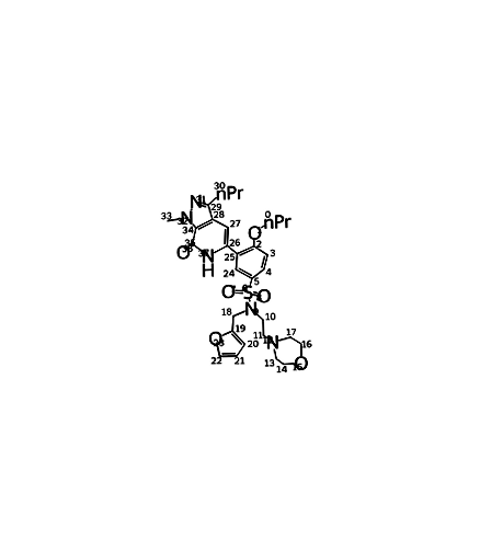 CCCOc1ccc(S(=O)(=O)N(CCN2CCOCC2)Cc2ccco2)cc1-c1cc2c(CCC)nn(C)c2c(=O)[nH]1